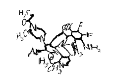 C=CC(=O)N1CCN(c2c(C#N)c(=O)n(-c3c(C)ccnc3C(C)C)c3nc(C4=C(F)C(N)C(F)C(F)=C4Cl)c(Cl)cc23)C[C@H]1C